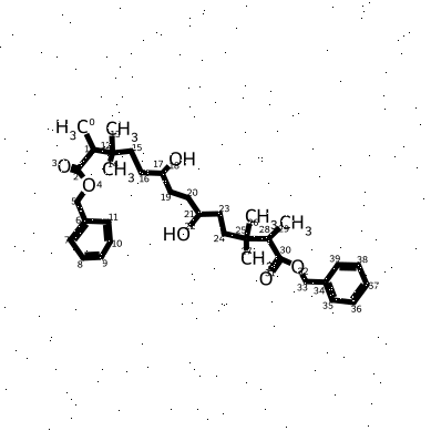 CC(C(=O)OCc1ccccc1)C(C)(C)CCC(O)CCC(O)CCC(C)(C)C(C)C(=O)OCc1ccccc1